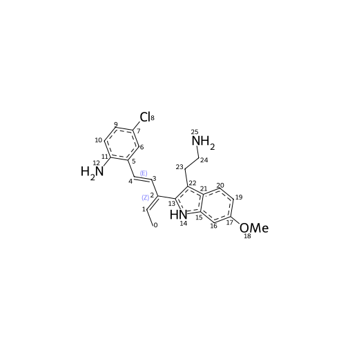 C/C=C(/C=C/c1cc(Cl)ccc1N)c1[nH]c2cc(OC)ccc2c1CCN